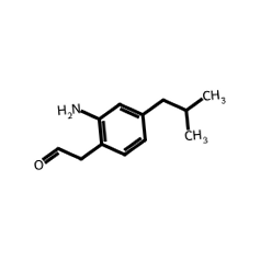 CC(C)Cc1ccc(CC=O)c(N)c1